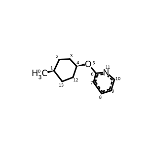 C[C@H]1CC[C@@H](Oc2ccccn2)CC1